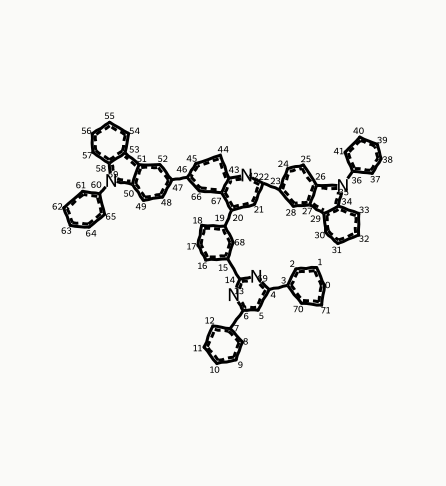 c1ccc(-c2cc(-c3ccccc3)nc(-c3cccc(-c4cc(-c5ccc6c(c5)c5ccccc5n6-c5ccccc5)nc5ccc(-c6ccc7c(c6)c6ccccc6n7-c6ccccc6)cc45)c3)n2)cc1